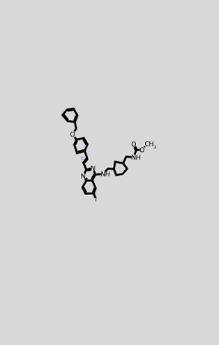 COC(=O)NCC1CCCC(CNc2nc(/C=C/c3ccc(OCc4ccccc4)cc3)nc3ccc(I)cc23)C1